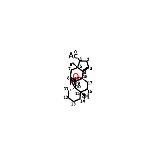 CC(=O)[C@H]1CC=C2[C@]1(C)CC[C@@H]1[C@@]34CCCC[C@H]3CC[C@@]21OC4